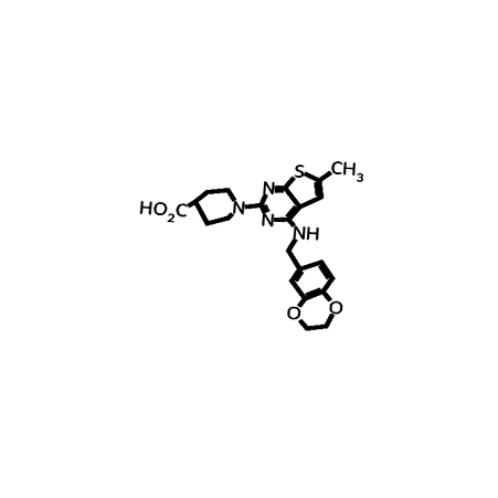 Cc1cc2c(NCc3ccc4c(c3)OCCO4)nc(N3CCC(C(=O)O)CC3)nc2s1